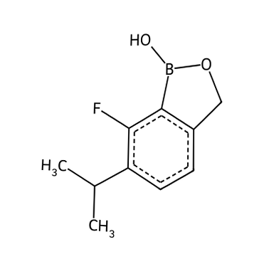 CC(C)c1ccc2c(c1F)B(O)OC2